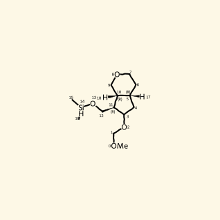 COCOC1C[C@H]2CCOC[C@H]2[C@@H]1CO[SiH](C)C